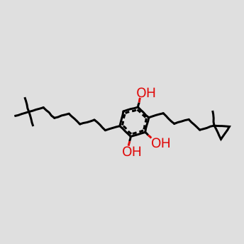 CC(C)(C)CCCCCCc1cc(O)c(CCCCC2(C)CC2)c(O)c1O